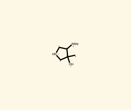 CNC1CNCC1(C)O